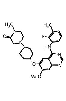 COc1cc2ncnc(Nc3cccc(C)c3F)c2cc1O[C@H]1CC[C@H](N2CCN(C)C(=O)C2)CC1